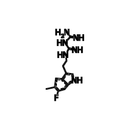 Cc1cc2c(CCNC(=N)NC(=N)N)c[nH]c2cc1F